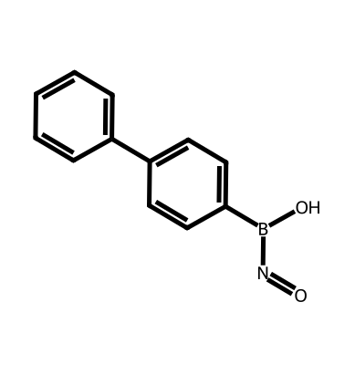 O=NB(O)c1ccc(-c2ccccc2)cc1